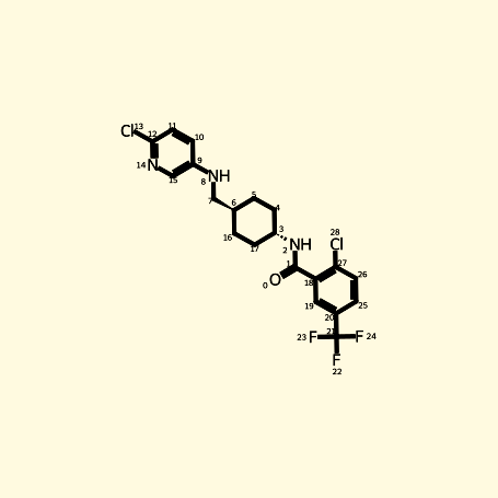 O=C(N[C@H]1CC[C@H](CNc2ccc(Cl)nc2)CC1)c1cc(C(F)(F)F)ccc1Cl